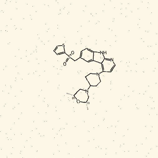 C[C@@H]1CN(C2CCN(c3ccnc4[nH]c5ccc(CS(=O)(=O)c6cccs6)cc5c34)CC2)C[C@H](C)O1